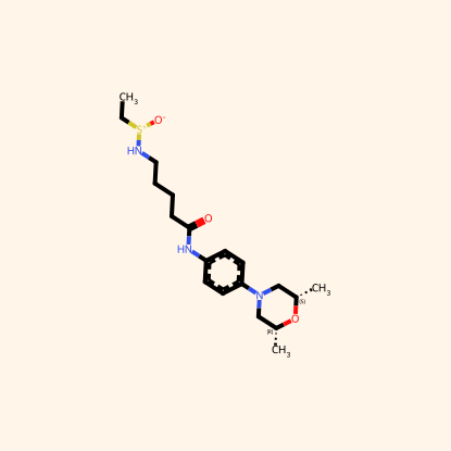 CC[S+]([O-])NCCCCC(=O)Nc1ccc(N2C[C@@H](C)O[C@@H](C)C2)cc1